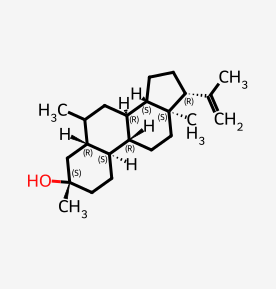 C=C(C)[C@H]1CC[C@H]2[C@@H]3CC(C)[C@H]4C[C@@](C)(O)CC[C@@H]4[C@H]3CC[C@]12C